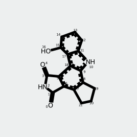 O=C1NC(=O)c2c1c1c(c3[nH]c4cccc(O)c4c23)CCC1